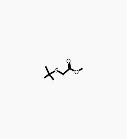 COC(=O)[CH]SC(C)(C)C